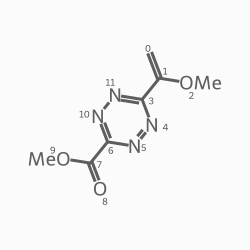 C=C(OC)c1nnc(C(=O)OC)nn1